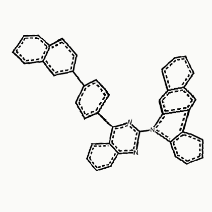 c1ccc2cc(-c3ccc(-c4nc(-n5c6ccccc6c6cc7ccccc7cc65)nc5ccccc45)cc3)ccc2c1